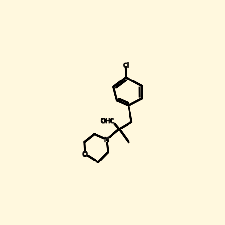 CC(C=O)(Cc1ccc(Cl)cc1)N1CCOCC1